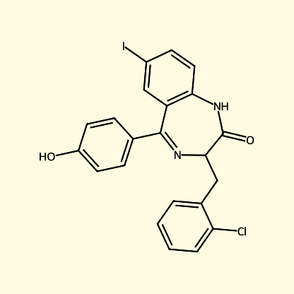 O=C1Nc2ccc(I)cc2C(c2ccc(O)cc2)=NC1Cc1ccccc1Cl